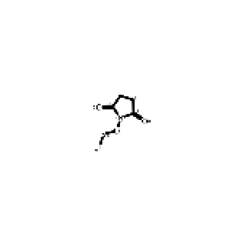 O=C1CCC(=O)N1OSI